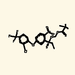 CCP(=S)(OCOC(=S)C(C)(C)C)c1cc(Oc2ccc(C(F)(F)F)cc2Cl)ccc1[N+](=O)[O-]